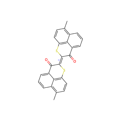 Cc1ccc2s/c(=c3/sc4ccc(C)c5cccc(c3=O)c45)c(=O)c3cccc1c23